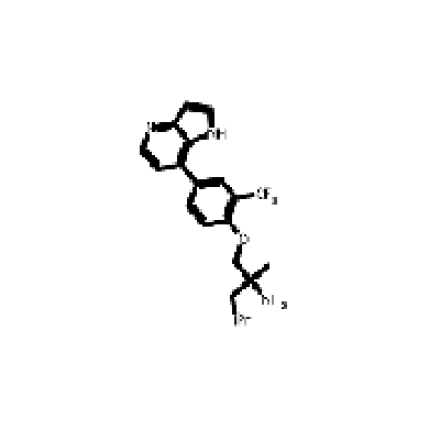 CC(C)CC(C)(N)COc1ccc(-c2ccnc3cc[nH]c23)cc1C(F)(F)F